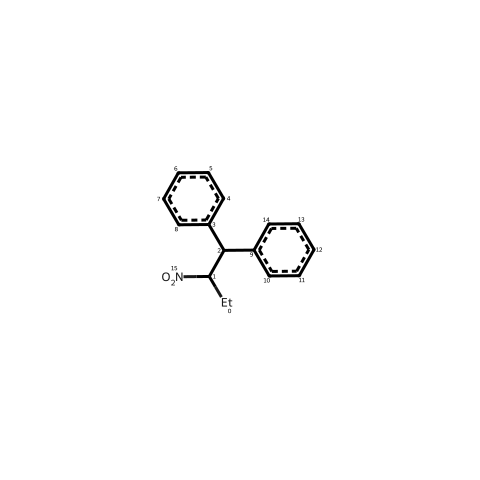 CCC(C(c1ccccc1)c1ccccc1)[N+](=O)[O-]